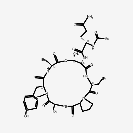 CCC(C)C(=O)N[C@@H](CCC(N)=O)C(=O)N[C@@H]1C(=O)N[C@@H](CC(C)C)C(=O)N2CCCC2C(=O)NC(C(C)CC)C(=O)N(C)[C@@H](Cc2ccc(O)cc2)C(=O)N[C@@H](C(C)CC)C(=O)O[C@@H]1C